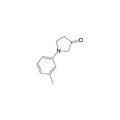 Cc1cccc(N2CCC(=O)C2)c1